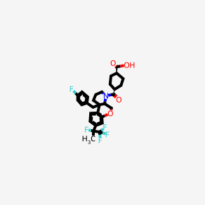 CC(F)(c1ccc2c(c1)OCC1N(C(=O)[C@H]3CC[C@H](C(=O)O)CC3)CCCC21Cc1ccc(F)cc1)C(F)(F)F